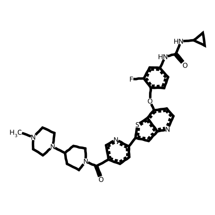 CN1CCN(C2CCN(C(=O)c3ccc(-c4cc5nccc(Oc6ccc(NC(=O)NC7CC7)cc6F)c5s4)nc3)CC2)CC1